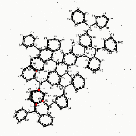 c1ccc(-c2c3ccccc3c(-c3cccc(N4c5ccccc5B5c6cc7c(cc6N(c6c8ccccc8c(-c8ccccc8)c8ccccc68)c6cc(N(c8ccccc8)c8ccccc8)cc4c65)Sc4cc(N(c5ccccc5)c5ccccc5)cc5c4B7c4ccccc4N5c4ccccc4)c3)c3ccccc23)cc1